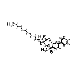 CCCCCCCCCCCCCC(COP(C)(=O)c1ccc(-c2ccccc2)cc1)C(C)=O